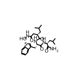 CC(C)C[C@H](CC(=O)NO)C(=O)N[C@@H](Cc1csc2ccccc12)C(=O)N[C@@H](CC(C)C)C(N)=O